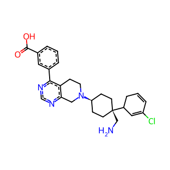 NC[C@]1(C2C=C(Cl)C=CC2)CC[C@H](N2CCc3c(ncnc3-c3cccc(C(=O)O)c3)C2)CC1